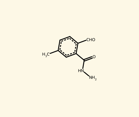 Cc1ccc(C=O)c(C(=O)NN)c1